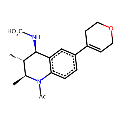 CC(=O)N1c2ccc(C3=CCOCC3)cc2[C@H](NC(=O)O)[C@@H](C)[C@@H]1C